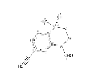 C#Cc1ccc2c(c1)C(C=O)CCC2(C)C